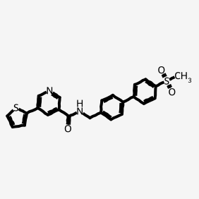 CS(=O)(=O)c1ccc(-c2ccc(CNC(=O)c3cncc(-c4cccs4)c3)cc2)cc1